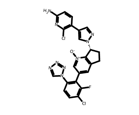 Nc1ccc(-c2cnn([C@@H]3CCc4cc(-c5c(-n6cnnn6)ccc(Cl)c5F)c[n+]([O-])c43)c2)c(Cl)n1